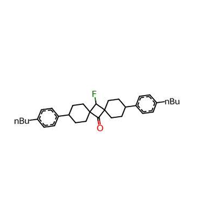 CCCCc1ccc(C2CCC3(CC2)C(=O)C2(CCC(c4ccc(CCCC)cc4)CC2)C3F)cc1